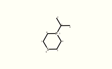 CC(C)P1CCSCC1